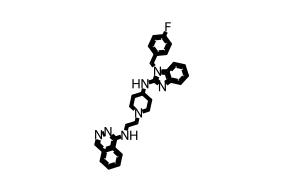 Fc1ccc(Cn2c(NC3CCN(CCNc4nncc5ccccc45)CC3)nc3ccccc32)cc1